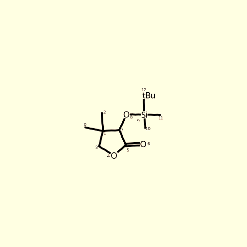 CC1(C)COC(=O)C1O[Si](C)(C)C(C)(C)C